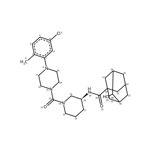 Cc1ccc(Cl)cc1N1CCN(C(=O)N2CCC[C@H](NC(=O)C34CC5CC(C3)C(O)C(C5)C4)C2)CC1